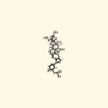 CCC[C@@H]1OC2C[C@H]3[C@@H]4CCC5=Cc6c(cnn6-c6ccc(F)c(CN(CC)CC)c6)C[C@]5(C)[C@H]4[C@@H](O)C[C@]3(C)[C@]2(C(=O)CO)O1